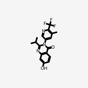 Cc1cc(-n2c(C(C)C)nc3cc(O)ccc3c2=O)cnc1C(F)(F)F